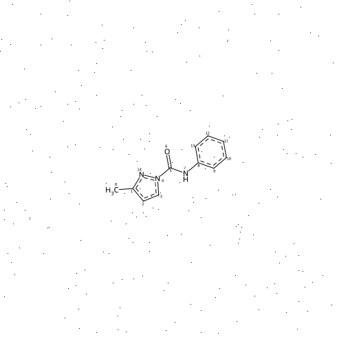 Cc1c[c]n(C(=O)Nc2ccccc2)n1